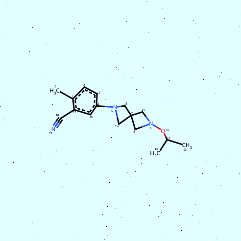 Cc1ccc(N2CC3(CN(OC(C)C)C3)C2)cc1C#N